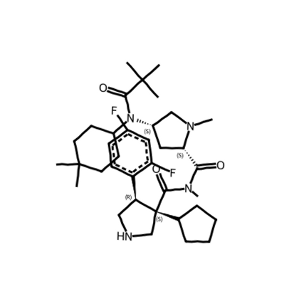 CN(C(=O)[C@@H]1C[C@H](N(C(=O)C(C)(C)C)C2CCC(C)(C)CC2)CN1C)C(=O)[C@]1(C2CCCC2)CNC[C@H]1c1ccc(F)cc1F